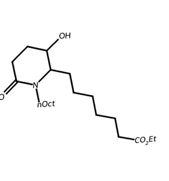 CCCCCCCCN1C(=O)CCC(O)C1CCCCCCC(=O)OCC